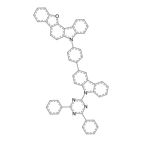 c1ccc(-c2nc(-c3ccccc3)nc(-n3c4ccccc4c4cc(-c5ccc(-n6c7ccccc7c7c8oc9ccccc9c8ccc76)cc5)ccc43)n2)cc1